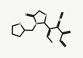 C=C=C(C(=C)C=C)/C(=C\C)C1SCC(=S)N1CC1CCCO1